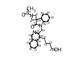 C[S+]([O-])N1CC2(C1)C(=O)N(Cc1ncc3ccccc3c1CCCCO)c1ccccc12